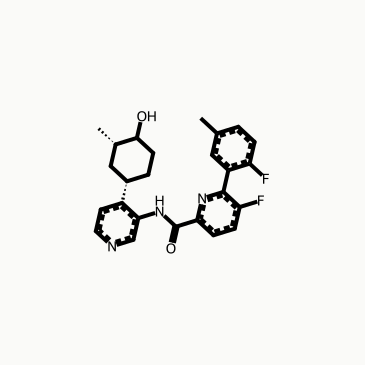 Cc1ccc(F)c(-c2nc(C(=O)Nc3cnccc3[C@H]3CCC(O)[C@@H](C)C3)ccc2F)c1